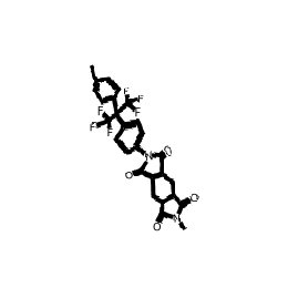 Cc1ccc(C(c2ccc(N3C(=O)C4CC5C(=O)N(C)C(=O)C5CC4C3=O)cc2)(C(F)(F)F)C(F)(F)F)cc1